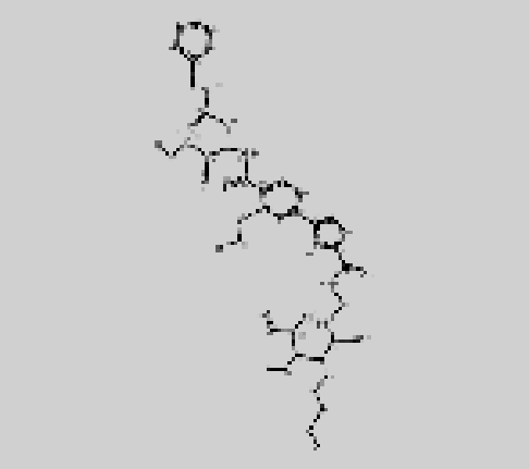 CCCCC[C@@H](C(=O)NCNC(=O)c1ccc(-c2ccc(C(=O)N[C@@H](CC(=O)OCc3ccccc3)C(=O)OCC)c(OCC)c2)o1)[C@@H](CC)N(O)C=O